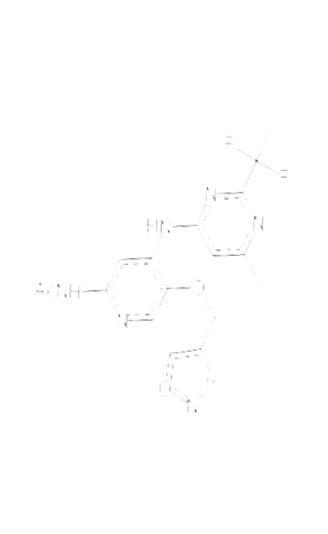 CC(=O)Nc1cc(Nc2cc(C)nc(C(C)(F)F)n2)c(OCc2cnoc2)cn1